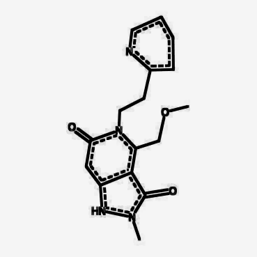 COCc1c2c(=O)n(C)[nH]c2cc(=O)n1CCc1ccccn1